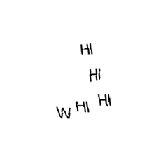 I.I.I.I.[W]